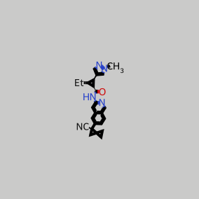 CCC1[C@@H](C(=O)Nc2cc3cc([C@@]4(C#N)CC45CC5)ccc3cn2)[C@@H]1c1cnn(C)c1